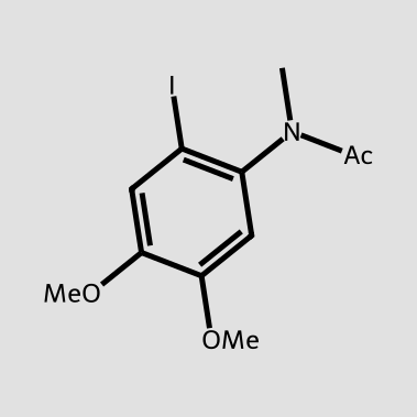 COc1cc(I)c(N(C)C(C)=O)cc1OC